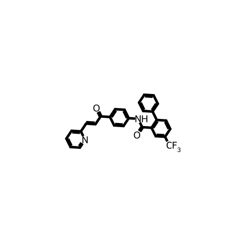 O=C(/C=C/c1ccccn1)c1ccc(NC(=O)c2cc(C(F)(F)F)ccc2-c2ccccc2)cc1